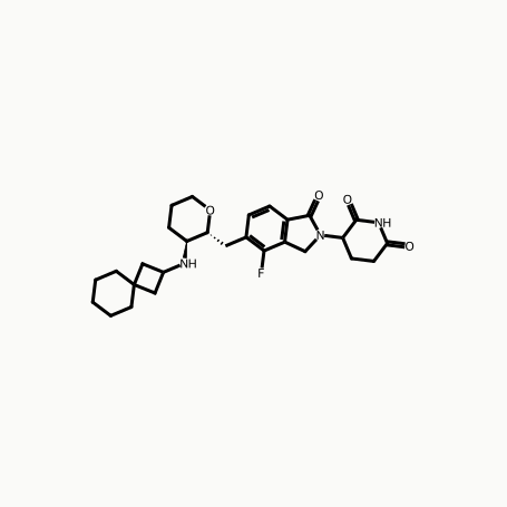 O=C1CCC(N2Cc3c(ccc(C[C@H]4OCCC[C@@H]4NC4CC5(CCCCC5)C4)c3F)C2=O)C(=O)N1